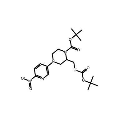 CC(C)(C)OC(=O)OCC1CN(c2ccc([N+](=O)[O-])nc2)CCN1C(=O)OC(C)(C)C